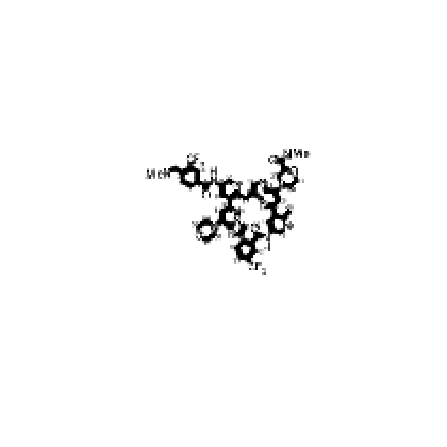 CNCc1ccc(C(=O)Nc2cnc(Cc3cnc4c(N5CCOC(C(=O)NC)C5)cc(-c5cc(NC(=O)c6cccc(C(F)(F)F)c6)cnc5C)nn34)c(-c3cc(N4CCOCC4)c4nccn4n3)c2)cc1C(F)(F)F